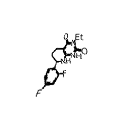 CCn1c(=O)[nH]c2c(c1=O)CC[C@H](c1ccc(F)cc1F)N2